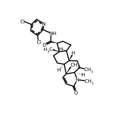 CC1C[C@@H]2[C@H](CC[C@]3(C)[C@@H](C(=O)Nc4ncc(Cl)cc4Cl)CC[C@@H]23)[C@@]2(C)C=CC(=O)N(C)[C@H]12